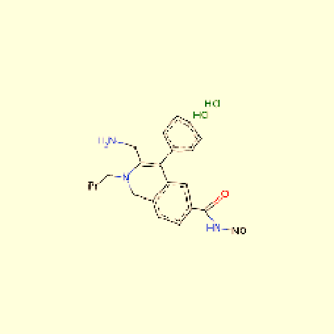 CC(C)CN1Cc2ccc(C(=O)NN=O)cc2C(c2ccccc2)=C1CN.Cl.Cl